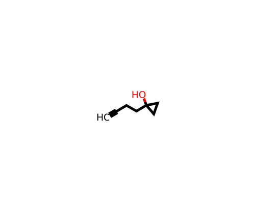 C#CCCC1(O)CC1